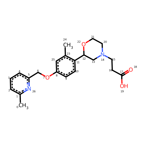 Cc1cccc(COc2ccc(C3CN(CCC(=O)O)CCO3)c(C)c2)n1